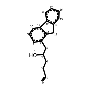 C=CCCC(O)Cc1cccc2c1Cc1ccccc1-2